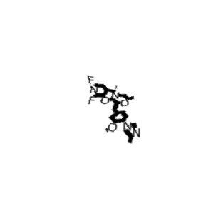 COc1cc(C=C2OC(C)CN([C@@H](C)c3cc(F)nc(F)c3)C2=O)ccc1-n1cnc(C)c1